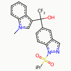 CC(C)S(=O)(=O)n1ncc2cc(C(O)(c3cn(C)c4ccccc34)C(F)(F)F)ccc21